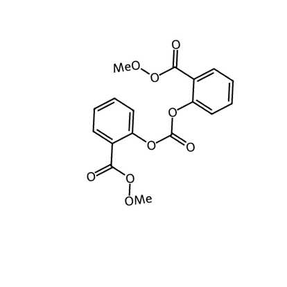 COOC(=O)c1ccccc1OC(=O)Oc1ccccc1C(=O)OOC